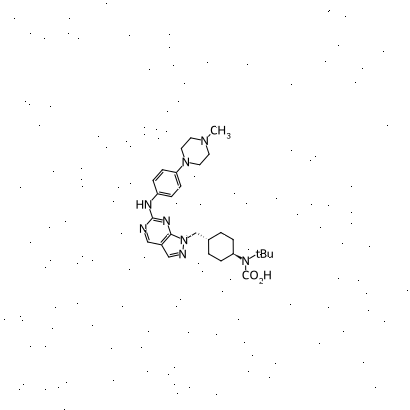 CN1CCN(c2ccc(Nc3ncc4cnn(C[C@H]5CC[C@H](N(C(=O)O)C(C)(C)C)CC5)c4n3)cc2)CC1